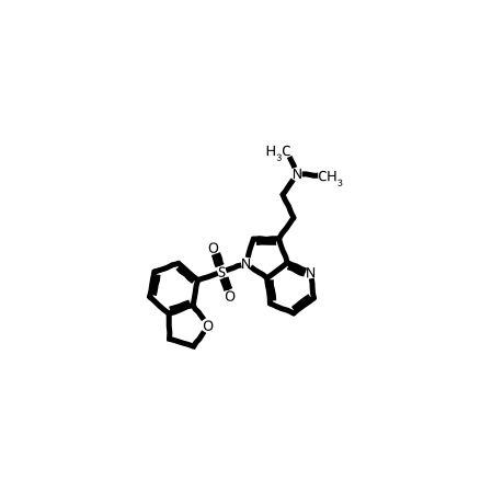 CN(C)CCc1cn(S(=O)(=O)c2cccc3c2OCC3)c2cccnc12